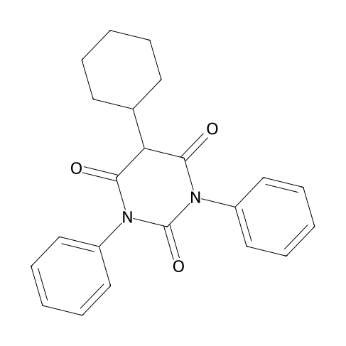 O=C1C(C2CCCCC2)C(=O)N(c2ccccc2)C(=O)N1c1ccccc1